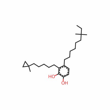 CCC(C)(C)CCCCCCc1ccc(O)c(O)c1CCCCCC1(C)CC1